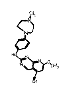 C#Cc1cc(OC)nc2nc(Nc3ccc(N4CCN(C)CC4)cc3)ncc12